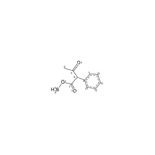 BOC(=O)C(C(C)=O)c1ccccc1